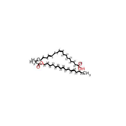 CCCC/C=C/CC/C=C\CCCCCCCC(=O)O.CCCCC=CCCCCCCCCCCOC(C)=O